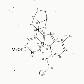 COc1cc(N2CC3CCC(C2)C3Nc2nc3c(C(C)C)ccc(OCC(F)(F)F)n3n2)cnn1